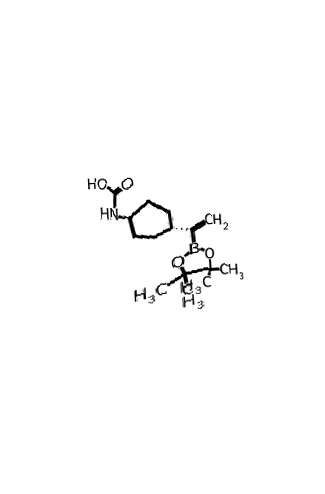 C=C(B1OC(C)(C)C(C)(C)O1)[C@H]1CC[C@H](NC(=O)O)CC1